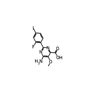 COc1c(N)nc(-c2ccc(I)cc2F)nc1C(=O)O